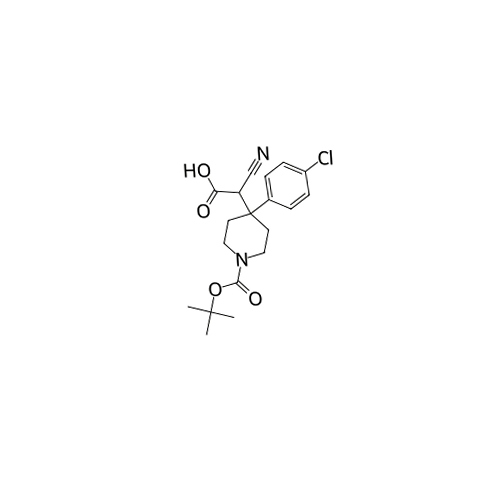 CC(C)(C)OC(=O)N1CCC(c2ccc(Cl)cc2)(C(C#N)C(=O)O)CC1